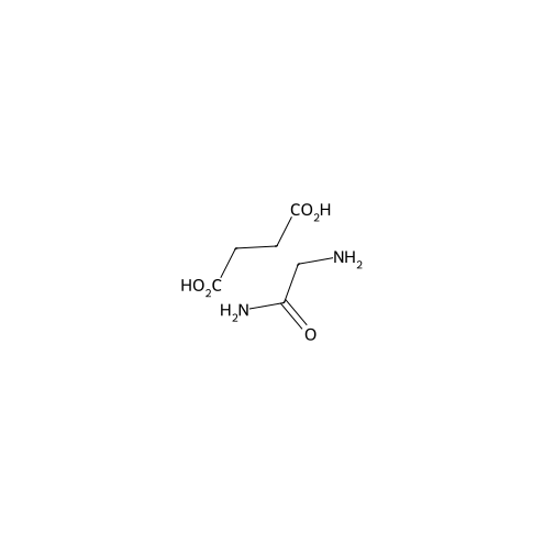 NCC(N)=O.O=C(O)CCC(=O)O